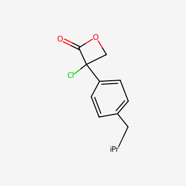 CC(C)Cc1ccc(C2(Cl)COC2=O)cc1